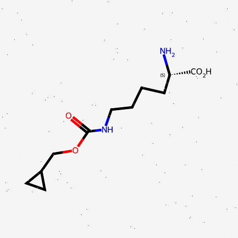 N[C@@H](CCCCNC(=O)OCC1CC1)C(=O)O